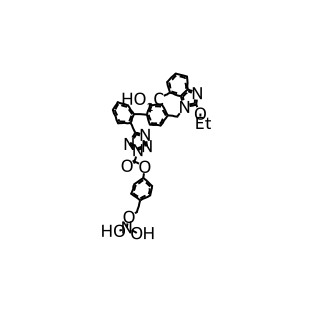 CCOc1nc2cccc(C(=O)O)c2n1Cc1ccc(-c2ccccc2-c2nnn(C(=O)Oc3ccc(CON(O)O)cc3)n2)cc1